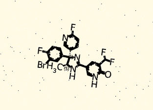 C[C@@H]1NC(c2c[nH]c(=O)c(C(F)F)c2)=N[C@]1(c1ccc(F)nc1)c1ccc(F)c(Br)c1